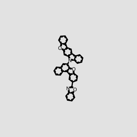 c1ccc2c(c1)cc(-n1c3ccccc3c3cc4c(cc31)oc1ccccc14)c1oc3ccc(-c4nc5ccccc5o4)cc3c12